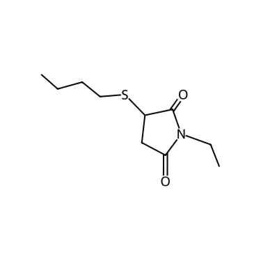 CCCCSC1CC(=O)N(CC)C1=O